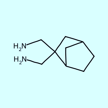 NCC1(CN)CC2CCC1C2